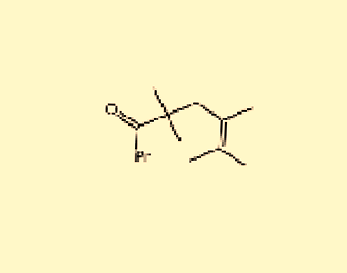 CC(C)=C(C)CC(C)(C)C(=O)C(C)C